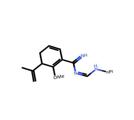 C=C(C)C1CC=CC(C(=N)/N=C\NCCC)=C1OC